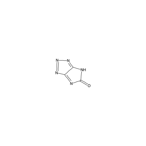 O=C1N=C2N=NN=C2N1